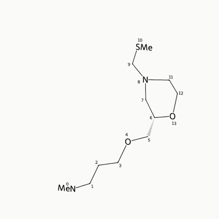 CNCCCOC[C@@H]1CN(CSC)CCO1